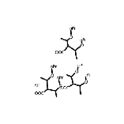 CCCOC(C)C(C(=O)[O-])C(C)OCCC.CCCOC(C)C(C(=O)[O-])C(C)OCCC.CCCOC(C)C(C(=O)[O-])C(C)OCCC.[Al+3]